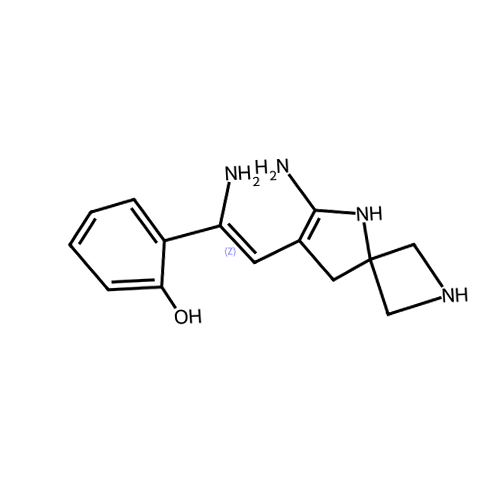 NC1=C(/C=C(\N)c2ccccc2O)CC2(CNC2)N1